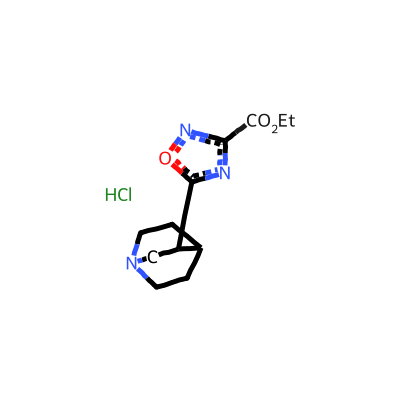 CCOC(=O)c1noc(C2CN3CCC2CC3)n1.Cl